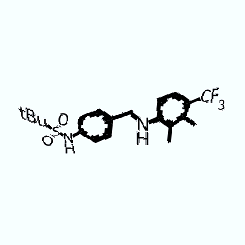 Cc1c(NCc2ccc(NS(=O)(=O)C(C)(C)C)cc2)ccc(C(F)(F)F)c1C